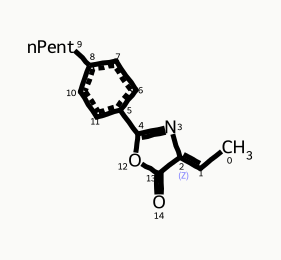 C/C=C1\N=C(c2ccc(CCCCC)cc2)OC1=O